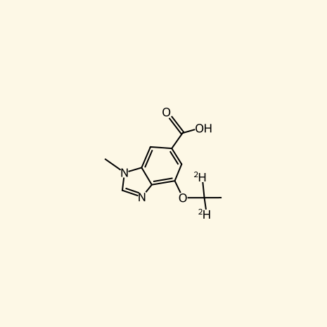 [2H]C([2H])(C)Oc1cc(C(=O)O)cc2c1ncn2C